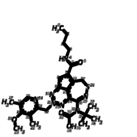 CCCCNC(=O)c1cc2nn(Cc3ncc(C)c(OC)c3C)nc3c-2c1CSN=C3N(C(=O)O)C(C)(C)C